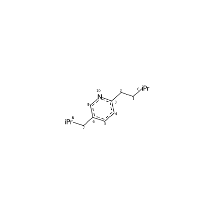 CC(C)CCc1ccc(CC(C)C)cn1